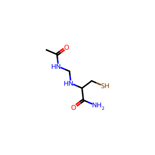 CC(=O)NCNC(CS)C(N)=O